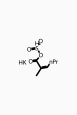 CCCC=C(C)C(=O)O[SH](=O)=O.[KH]